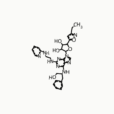 CCc1cc(C2OC(n3cnc4c(NC(CO)Cc5ccccc5)nc(NCCNc5ccccn5)nc43)C(O)C2O)on1